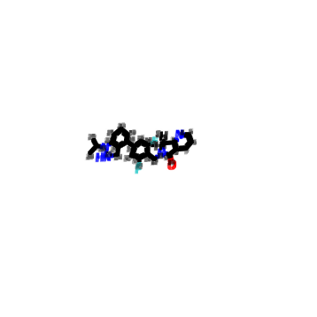 [2H]C1([2H])c2ncccc2C(=O)N1Cc1c(F)cc(-c2cccc3c2CNN3C(C)C)cc1F